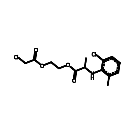 Cc1cccc(Cl)c1NC(C)C(=O)OCCOC(=O)CCl